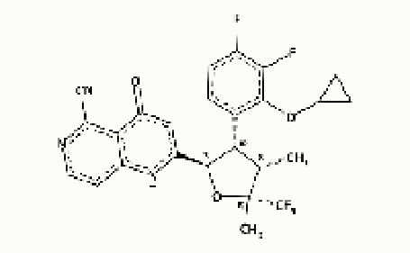 C[C@H]1[C@@H](c2ccc(F)c(F)c2OC2CC2)[C@H](c2cc(=O)c3c(C#N)nccc3[nH]2)O[C@@]1(C)C(F)(F)F